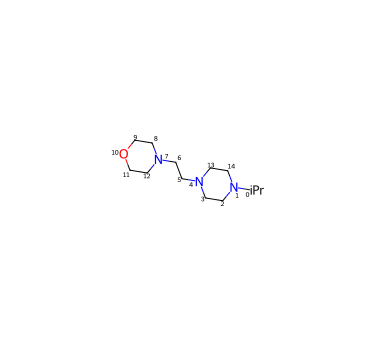 CC(C)N1CCN(CCN2CCOCC2)CC1